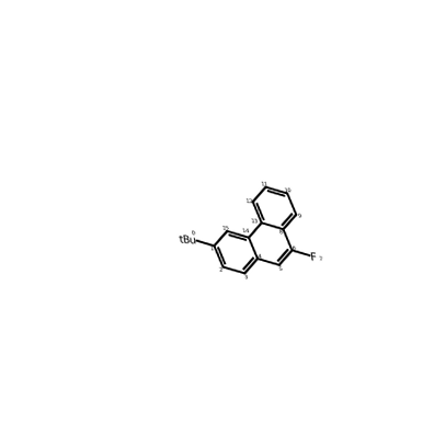 CC(C)(C)c1ccc2cc(F)c3ccccc3c2c1